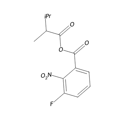 CC(C)C(C)C(=O)OC(=O)c1cccc(F)c1[N+](=O)[O-]